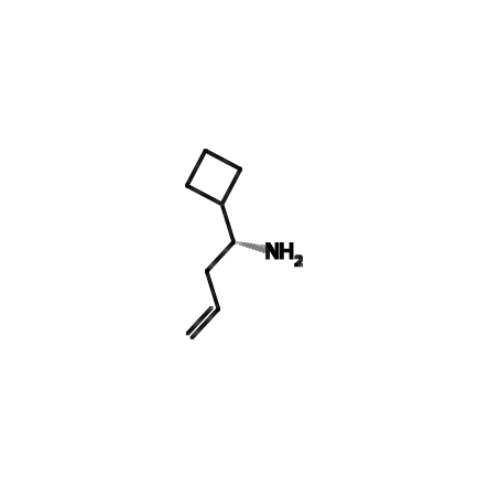 C=CC[C@@H](N)C1CCC1